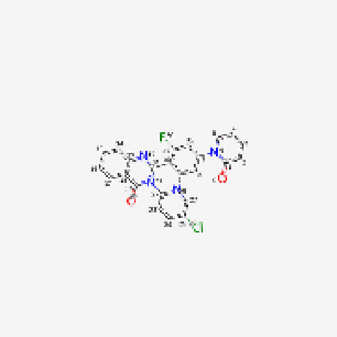 O=c1ccccn1-c1ccc(-c2nc3ccccc3c(=O)n2-c2ccc(Cl)cn2)c(F)c1